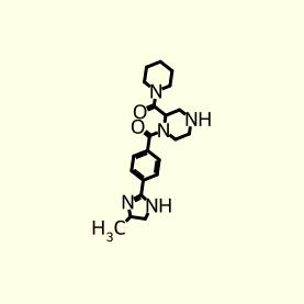 CC1CNC(c2ccc(C(=O)N3CCNCC3C(=O)N3CCCCC3)cc2)=N1